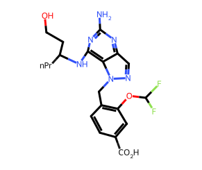 CCCC(CCO)Nc1nc(N)nc2cnn(Cc3ccc(C(=O)O)cc3OC(F)F)c12